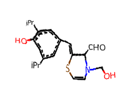 CC(C)c1cc(C=C2SC=CN(CO)C2C=O)cc(C(C)C)c1O